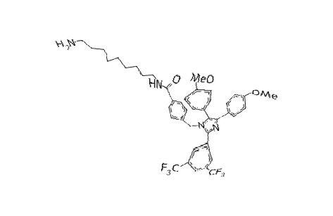 COc1ccc(-c2nc(-c3cc(C(F)(F)F)cc(C(F)(F)F)c3)n(Cc3ccc(C(=O)NCCCCCCCCCN)cc3)c2-c2ccc(OC)cc2)cc1